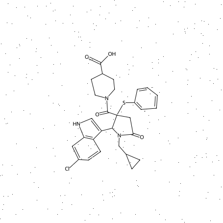 O=C(O)C1CCN(C(=O)C2(Sc3ccccc3)CC(=O)N(CC3CC3)C2c2c[nH]c3cc(Cl)ccc23)CC1